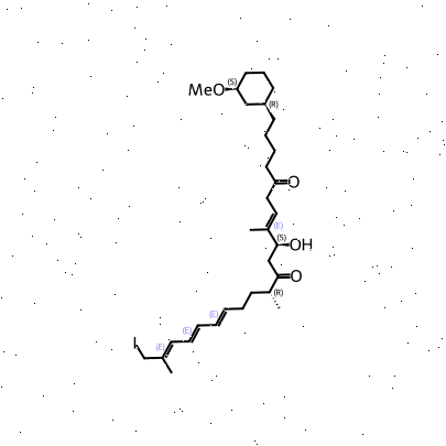 CO[C@H]1CCC[C@@H](CCCCC(=O)C/C=C(\C)[C@@H](O)CC(=O)[C@H](C)CC/C=C/C=C/C=C(\C)CI)C1